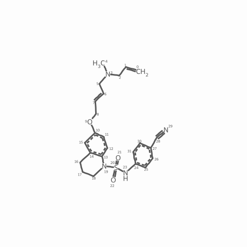 C=CCN(C)CC=CCOc1ccc2c(c1)CCCN2S(=O)(=O)Nc1ccc(C#N)cc1